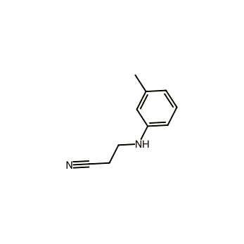 Cc1cccc(NCCC#N)c1